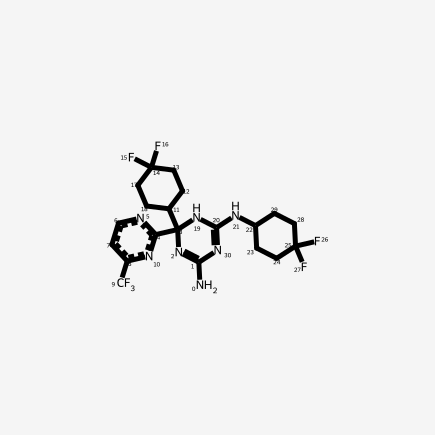 NC1=NC(c2nccc(C(F)(F)F)n2)(C2CCC(F)(F)CC2)NC(NC2CCC(F)(F)CC2)=N1